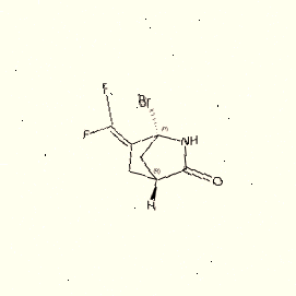 O=C1N[C@@]2(Br)C[C@H]1CC2=C(F)F